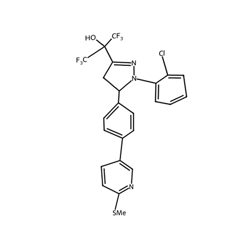 CSc1ccc(-c2ccc(C3CC(C(O)(C(F)(F)F)C(F)(F)F)=NN3c3ccccc3Cl)cc2)cn1